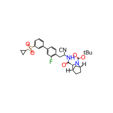 CC(C)(C)OC(=O)N1[C@@H]2CC[C@@H](C2)[C@H]1C(=O)N[C@H](C#N)Cc1ccc(-c2cccc(S(=O)(=O)C3CC3)c2)cc1F